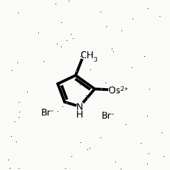 Cc1cc[nH][c]1[Os+2].[Br-].[Br-]